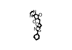 O=C1C(=Cc2cc3sc(-c4ccccc4)nc3o2)C(=O)c2nccnc21